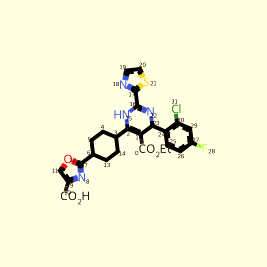 CCOC(=O)C1=C(C2CCC(c3nc(C(=O)O)co3)CC2)NC(c2nccs2)=NC1c1ccc(F)cc1Cl